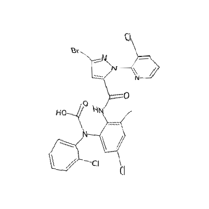 Cc1cc(Cl)cc(N(C(=O)O)c2ccccc2Cl)c1NC(=O)c1cc(Br)nn1-c1ncccc1Cl